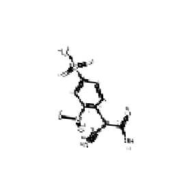 CS(=O)(=O)c1ccc(C(C#N)C(=O)O)c([N+](=O)[O-])c1